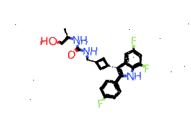 C[C@H](CO)NC(=O)NC[C@H]1C[C@H](c2c(-c3ccc(F)cc3)[nH]c3c(F)cc(F)cc32)C1